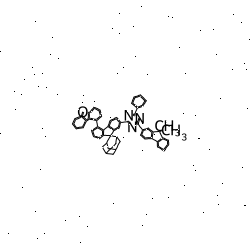 CC1(C)c2ccccc2-c2ccc(-c3nc(-c4ccccc4)nc(-c4ccc5c(c4)C4(c6cccc(-c7cccc8oc9ccccc9c78)c6-5)C5CC6CC(C5)CC4C6)n3)cc21